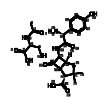 CC(=O)NC(CS)C(=O)O.CC1(C)S[C@@H]2[C@H](NC(=O)[C@H](N)c3ccc(O)cc3)C(=O)N2[C@H]1C(=O)O